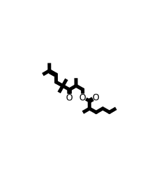 CCCCC(C)C(=O)OCC(C)C(=O)C(C)(C)CC=C(C)C